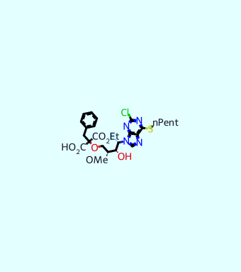 CCCCCSc1nc(Cl)nc2c1ncn2[C@@H](F)[C@H](O)[C@@H](COC(Cc1ccccc1)(C(=O)O)C(=O)OCC)OC